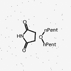 CCCCCOCCCCC.O=C1CCC(=O)N1